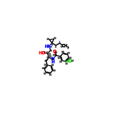 CCCC1(NC[C@H](O)[C@H](Cc2ccccc2)NC(=O)c2ccccc2)CC1.Cl